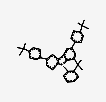 CC(C)(C)c1ccc(-c2ccc3c(c2)c2cc(-c4ccc(C(C)(C)C)cc4)cc4c2n3-c2ccccc2C4(C)C)cc1